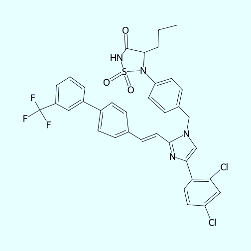 CCCC1C(=O)NS(=O)(=O)N1c1ccc(Cn2cc(-c3ccc(Cl)cc3Cl)nc2/C=C/c2ccc(-c3cccc(C(F)(F)F)c3)cc2)cc1